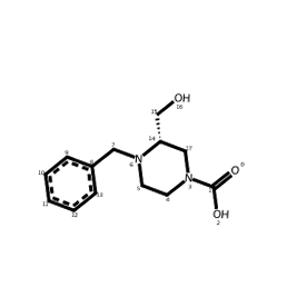 O=C(O)N1CCN(Cc2ccccc2)[C@H](CO)C1